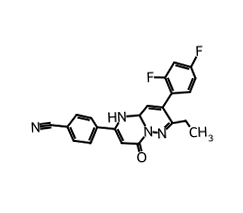 CCC1=NN2C(=O)C=C(c3ccc(C#N)cc3)NC2C=C1c1ccc(F)cc1F